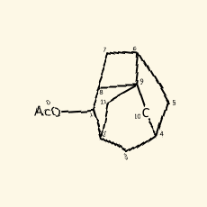 CC(=O)OC1C2CC3CC4CC1C4(C3)C2